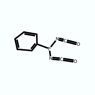 O=C=NP(N=C=O)c1ccccc1